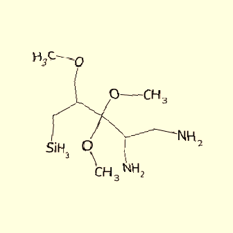 COC(C[SiH3])C(OC)(OC)C(N)CN